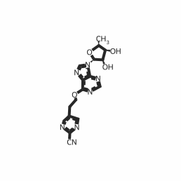 C[C@H]1O[C@@H](n2cnc3c(OCCc4cnc(C#N)nc4)ncnc32)[C@H](O)[C@@H]1O